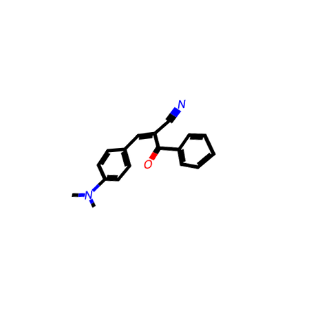 CN(C)c1ccc(/C=C(/C#N)C(=O)c2ccccc2)cc1